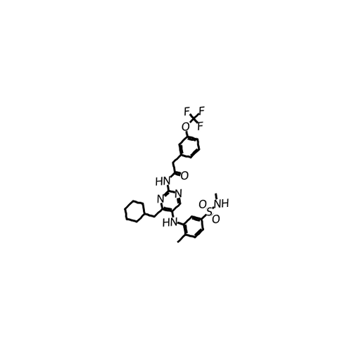 CNS(=O)(=O)c1ccc(C)c(Nc2cnc(NC(=O)Cc3cccc(OC(F)(F)F)c3)nc2CC2CCCCC2)c1